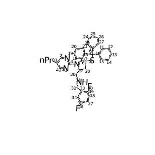 CCCc1cnc(N2CC(SC(c3ccccc3)(c3ccccc3)c3ccccc3)CC2CNCc2cc(F)ccc2F)nc1